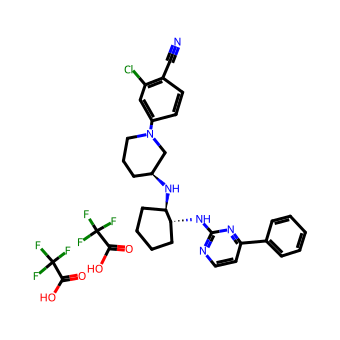 N#Cc1ccc(N2CCC[C@H](N[C@@H]3CCCC[C@H]3Nc3nccc(-c4ccccc4)n3)C2)cc1Cl.O=C(O)C(F)(F)F.O=C(O)C(F)(F)F